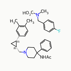 CC(=O)NC1(c2ccccc2)CCN(C[C@@H]2C[C@@H]2c2ccc(C)c(C)c2)CC1.CN(Cc1ccc(F)cc1)C(=O)O